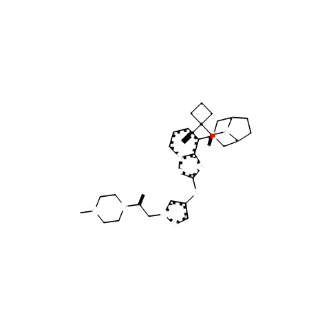 CN1CCN(C(=O)Cn2cc(Nc3nc4c(N5CC6CCC(C5)N6C(=O)C5(C#N)CCC5)cccn4n3)cn2)CC1